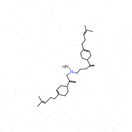 C=C(CCCN(CCC)CC(=C)C1CC=C(CCC=C(C)C)CC1)C1CC=C(CCC=C(C)C)CC1